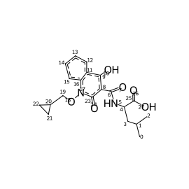 CC(C)CC(NC(=O)c1c(O)c2ccccc2n(OCC2CC2)c1=O)C(=O)O